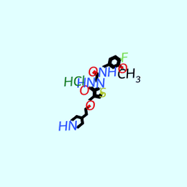 COc1cc(CNC(=O)c2nc3scc(COCCC4CCNCC4)c3c(=O)[nH]2)ccc1F.Cl